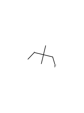 C[CH]C(C)(C)CF